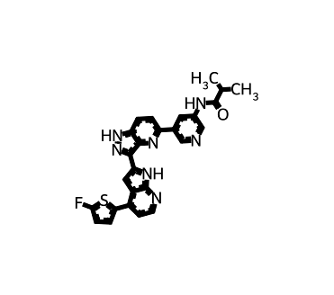 CC(C)C(=O)Nc1cncc(-c2ccc3[nH]nc(-c4cc5c(-c6ccc(F)s6)ccnc5[nH]4)c3n2)c1